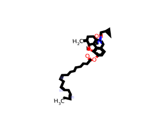 C=C1CC[C@@]2(O)C3Cc4ccc(OC(=O)CCCCCCC/C=C\C/C=C\C/C=C\CC)c5c4[C@@]2(CCN3CC2CC2)[C@H]1O5